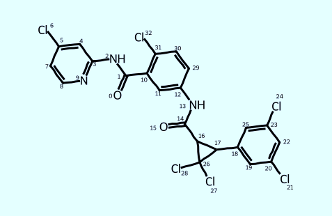 O=C(Nc1cc(Cl)ccn1)c1cc(NC(=O)C2C(c3cc(Cl)cc(Cl)c3)C2(Cl)Cl)ccc1Cl